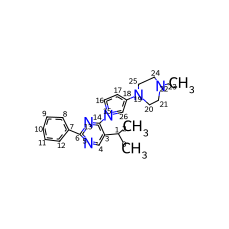 CC(C)c1cnc(-c2ccccc2)nc1-n1ccc(N2CCN(C)CC2)c1